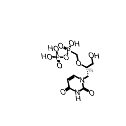 O=c1ccn(C[C@@H](CO)OCP(=O)(O)OP(=O)(O)O)c(=O)[nH]1